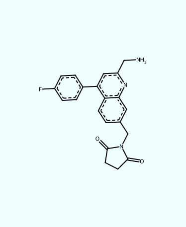 NCc1cc(-c2ccc(F)cc2)c2ccc(CN3C(=O)CCC3=O)cc2n1